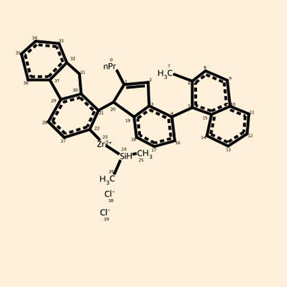 CCCC1=Cc2c(-c3c(C)ccc4ccccc34)cccc2C1c1[c]([Zr+2][SiH](C)C)ccc2c1Cc1ccccc1-2.[Cl-].[Cl-]